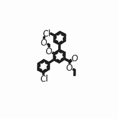 CCOC(=O)c1cc(-c2cccc(Cl)c2)c(OCOC)c(-c2cccc(Cl)c2)c1